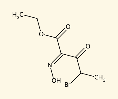 CCOC(=O)C(=NO)C(=O)C(C)Br